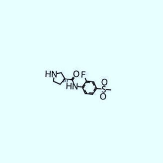 CS(=O)(=O)c1ccc(NC(=O)[C@H]2CCNC2)c(F)c1